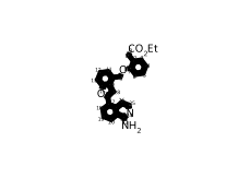 CCOC(=O)Cc1ccccc1OCc1cccc2oc(-c3cccc4c(N)nccc34)cc12